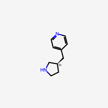 c1cc(C[C@H]2CCNC2)ccn1